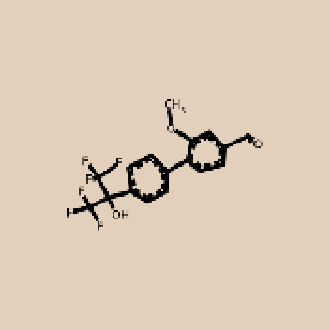 COc1cc(C=O)ccc1-c1ccc(C(O)(C(F)(F)F)C(F)(F)F)cc1